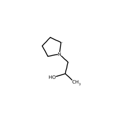 CC(O)CN1[CH]CCC1